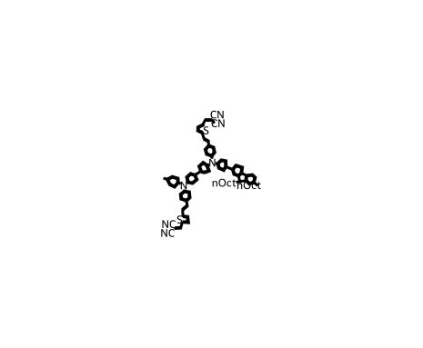 CCCCCCCCC1(CCCCCCCC)c2cc(C)ccc2-c2ccc(-c3ccc(N(c4ccc(/C=C/c5ccc(C=C(C#N)C#N)s5)cc4)c4ccc(-c5ccc(N(c6ccc(C)cc6)c6ccc(/C=C/c7ccc(C=C(C#N)C#N)s7)cc6)cc5)cc4)cc3)cc21